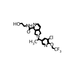 CC(c1cnc(OCC(F)(F)F)c(Cl)c1)N1Cc2ccnc(C(=O)NCCO)c2C1